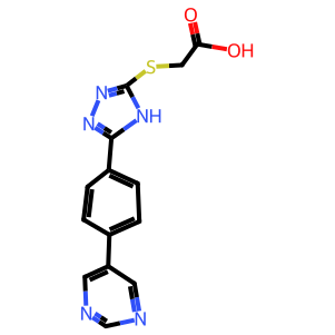 O=C(O)CSc1nnc(-c2ccc(-c3cncnc3)cc2)[nH]1